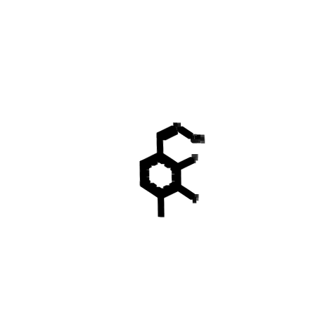 Cc1ccc(/C=N\O)c(F)c1F